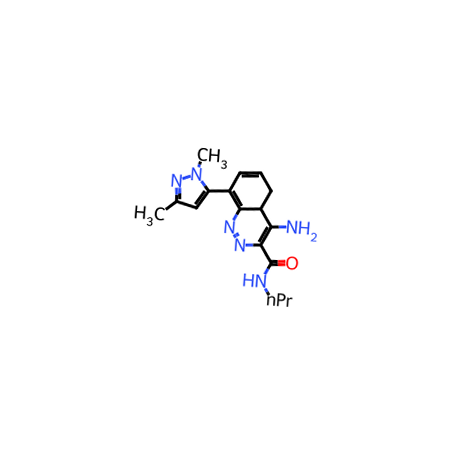 CCCNC(=O)C1=C(N)C2CC=CC(c3cc(C)nn3C)=C2N=N1